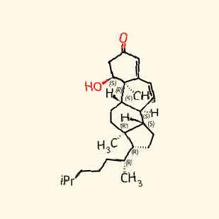 CC(C)CCC[C@@H](C)[C@H]1CC[C@H]2[C@@H]3C=CC4=CC(=O)C[C@H](O)[C@]4(C)[C@H]3CC[C@]12C